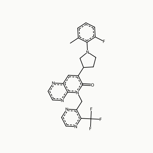 Cc1cccc(F)c1N1CCC(c2cc3nccnc3n(Cc3nccnc3C(F)(F)F)c2=O)C1